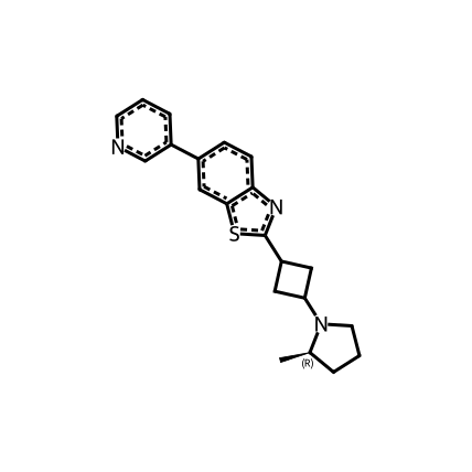 C[C@@H]1CCCN1C1CC(c2nc3ccc(-c4cccnc4)cc3s2)C1